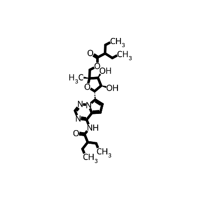 CCC(CC)C(=O)Nc1ncnn2c([C@@H]3O[C@](C)(COC(=O)C(CC)CC)[C@@H](O)[C@H]3O)ccc12